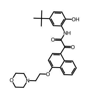 CC(C)(C)c1ccc(O)c(NC(=O)C(=O)c2ccc(OCCN3CCOCC3)c3ccccc23)c1